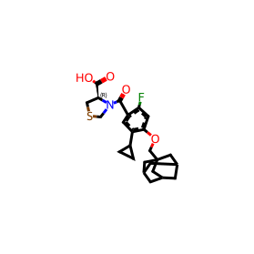 O=C(O)[C@@H]1CSCN1C(=O)c1cc(C2CC2)c(OCC23CC4CC(CC(C4)C2)C3)cc1F